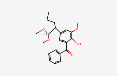 CCCC(c1cc(OC)c(O)c(C(=O)c2ccccc2)c1)[SiH](OC)OC